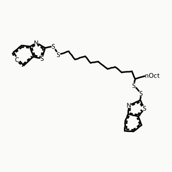 CCCCCCCCC(CCCCCCCCCSSc1nc2ccccc2s1)SSc1nc2ccccc2s1